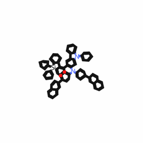 c1ccc(-n2c3ccccc3c3cc(-c4cccc5c4-c4ccccc4[Si]5(c4ccccc4)c4ccccc4)c(N(c4ccc(-c5ccc6ccccc6c5)cc4)c4ccc(-c5ccc6ccccc6c5)cc4)cc32)cc1